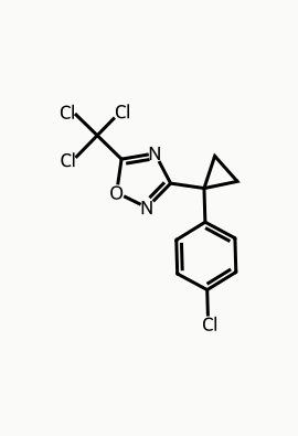 Clc1ccc(C2(c3noc(C(Cl)(Cl)Cl)n3)CC2)cc1